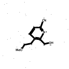 COCCc1ccc(C#N)nc1CO